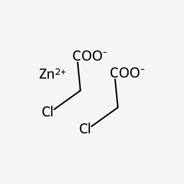 O=C([O-])CCl.O=C([O-])CCl.[Zn+2]